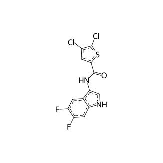 O=C(Nc1c[nH]c2cc(F)c(F)cc12)c1cc(Cl)c(Cl)s1